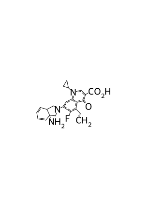 C=Cc1c(F)c(N2CC3C=CC=CC3(N)C2)cc2c1c(=O)c(C(=O)O)cn2C1CC1